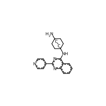 NC12CCC(Nc3nc(-c4ccncc4)nc4ccccc34)(CC1)CC2